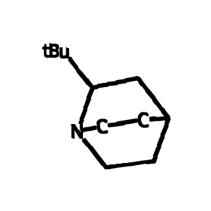 CC(C)(C)C1CC2CCN1CC2